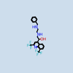 OC(CNCCNCc1ccccc1)c1cc(C(F)(F)F)nc2c(C(F)(F)F)cccc12